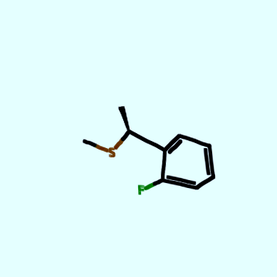 CS[C@@H](C)c1ccccc1F